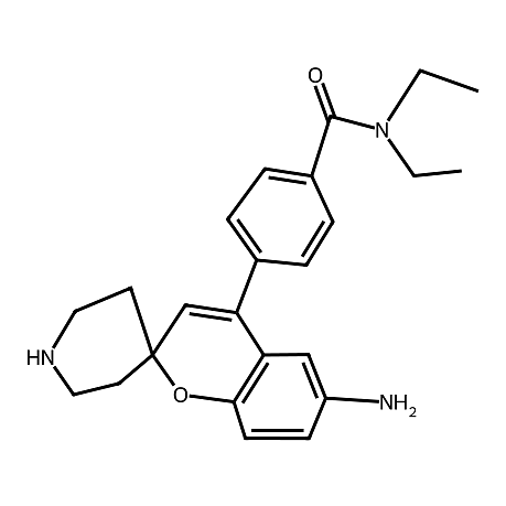 CCN(CC)C(=O)c1ccc(C2=CC3(CCNCC3)Oc3ccc(N)cc32)cc1